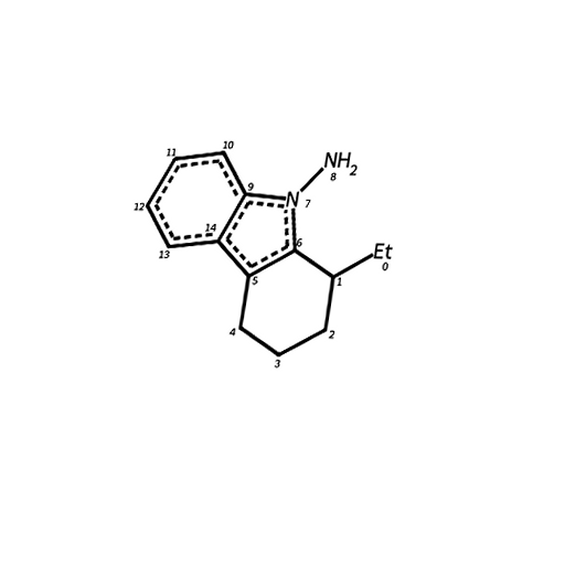 CCC1CCCc2c1n(N)c1ccccc21